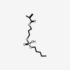 C=C(C)C(=O)OCCCOP(=O)(O)OCCCCC